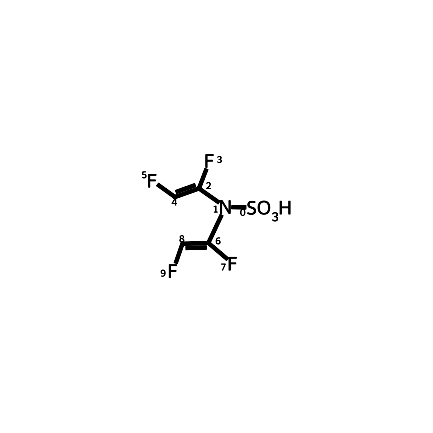 O=S(=O)(O)N(C(F)=CF)C(F)=CF